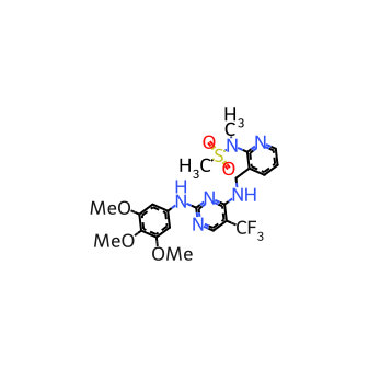 COc1cc(Nc2ncc(C(F)(F)F)c(NCc3cccnc3N(C)S(C)(=O)=O)n2)cc(OC)c1OC